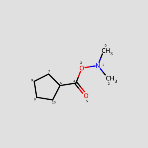 CN(C)OC(=O)C1CCCC1